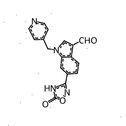 O=Cc1cn(Cc2ccncc2)c2cc(-c3noc(=O)[nH]3)ccc12